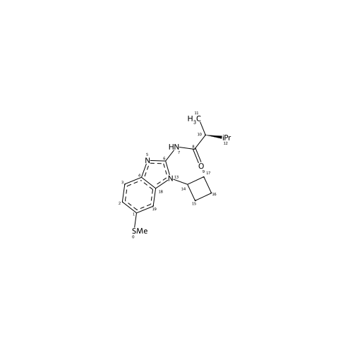 CSc1ccc2nc(NC(=O)[C@@H](C)C(C)C)n(C3CCC3)c2c1